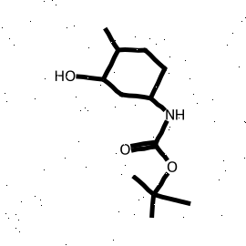 CC1CCC(NC(=O)OC(C)(C)C)CC1O